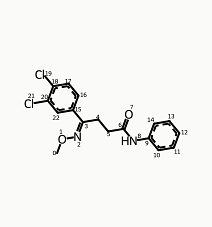 CON=C(CCC(=O)Nc1ccccc1)c1ccc(Cl)c(Cl)c1